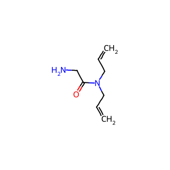 C=CCN(CC=C)C(=O)CN